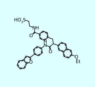 CCOc1ccc2cc(C(Cc3ccc(C(=O)NCCS(=O)(=O)O)cc3)C(=O)Nc3ccc(-c4cc5ccccc5o4)cc3)ccc2c1